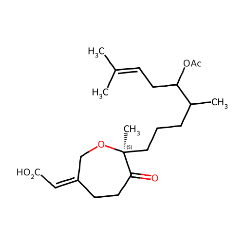 CC(=O)OC(CC=C(C)C)C(C)CCC[C@]1(C)OCC(=CC(=O)O)CCC1=O